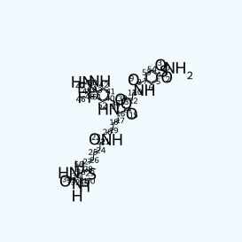 NS(=O)(=O)c1ccc(C(=O)NCCOC(=O)[C@H](CCCCNC(=O)CCCC[C@@H]2SC[C@@H]3NC(=O)N[C@@H]32)NC(=O)c2ccc(C3(C(F)(F)F)NN3)cc2)cc1